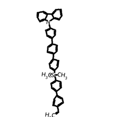 C=Cc1ccc(-c2ccc([Si](C)(C)c3ccc(-c4ccc(-c5ccc(-n6c7ccccc7c7ccccc76)cc5)cc4)cc3)cc2)cc1